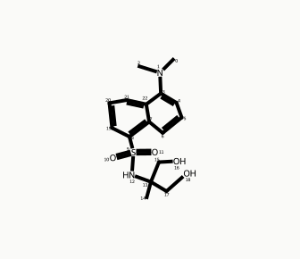 CN(C)c1cccc2c(S(=O)(=O)NC(C)(CO)CO)cccc12